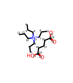 CCC[N+](CCC)(CCC)CCC.O=C([O-])CCCC(=O)O